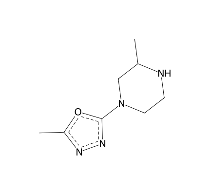 Cc1nnc(N2CCNC(C)C2)o1